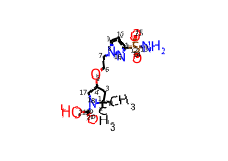 CC1(C)CC(OCCn2ccc(S(N)(=O)=O)n2)CN1C(=O)O